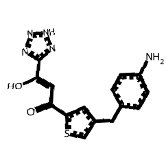 Nc1ccc(Cc2csc(C(=O)C=C(O)c3nn[nH]n3)c2)cc1